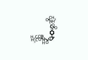 CC(=O)NC[C@H]1CN(c2ccc(C34CC3CN(C(=O)CNC(=O)OC(C)(C)C)C4)cc2)C(=O)O1